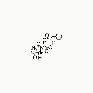 COc1ccnc(C(=O)N[C@H]2COC(=O)[C@@H](Cc3ccccc3)[CH][C@H](C)OC2=O)c1O